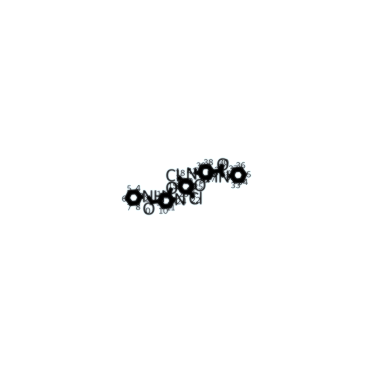 O=C(Nc1ccccc1)c1ccc2c(c1)Oc1c(Cl)c3c(c(Cl)c1=N2)Oc1cc(C(=O)Nc2ccccc2)ccc1N=3